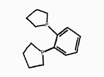 c1ccc(P2CCCC2)c(P2CCCC2)c1